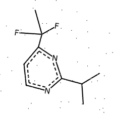 CC(C)c1nccc(C(C)(F)F)n1